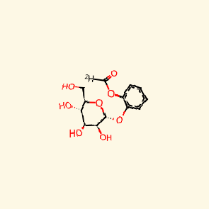 [2H]C(=O)Oc1ccccc1O[C@H]1O[C@H](CO)[C@@H](O)[C@H](O)[C@@H]1O